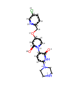 O=c1[nH]c(N2CCNCC2)ccc1-n1ccc(OCc2ccc(Cl)cn2)cc1=O